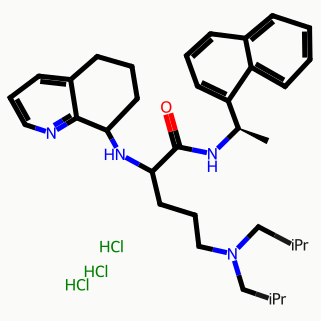 CC(C)CN(CCCC(NC1CCCc2cccnc21)C(=O)N[C@H](C)c1cccc2ccccc12)CC(C)C.Cl.Cl.Cl